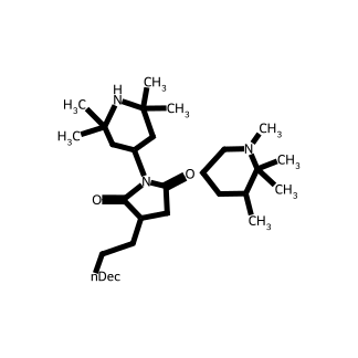 CC1CCCN(C)C1(C)C.CCCCCCCCCCCCC1CC(=O)N(C2CC(C)(C)NC(C)(C)C2)C1=O